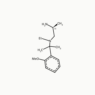 CCN(C[C@H](C)N)C(C)(C)c1ccccc1OC